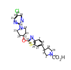 O=C(O)N1CCC(c2ccc3nc(OC4CCN(c5ncc(Cl)cn5)CC4)sc3c2)CC1